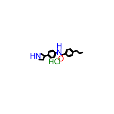 CCCc1ccc(C(=O)Nc2ccc(C3CCNC3)cc2)cc1.Cl